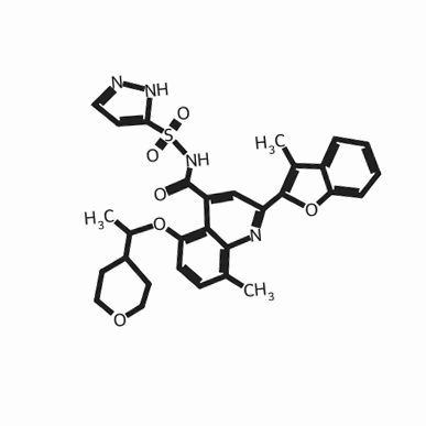 Cc1c(-c2cc(C(=O)NS(=O)(=O)c3ccn[nH]3)c3c(OC(C)C4CCOCC4)ccc(C)c3n2)oc2ccccc12